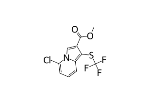 COC(=O)c1cn2c(Cl)cccc2c1SC(F)(F)F